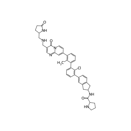 Cc1c(-c2ccn3c(=O)c(CNCC4CCC(=O)N4)cnc3c2)cccc1-c1cccc(-c2ccc3c(c2)CC(NC(=O)C2CCCN2)C3)c1Cl